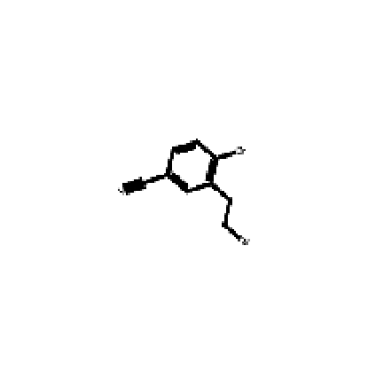 N#Cc1ccc(Br)c(CCBr)c1